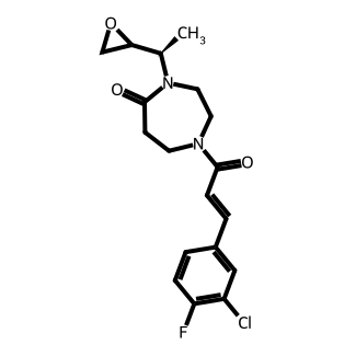 C[C@H](C1CO1)N1CCN(C(=O)C=Cc2ccc(F)c(Cl)c2)CCC1=O